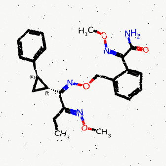 CCC(=NOC)C(=NOCc1ccccc1C(=NOC)C(N)=O)[C@@H]1C[C@H]1c1ccccc1